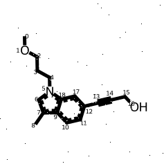 COCCCn1cc(C)c2ccc(C#CCO)cc21